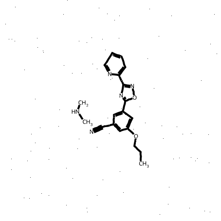 CCCOc1cc(C#N)cc(-c2nc(-c3ccccn3)no2)c1.CNC